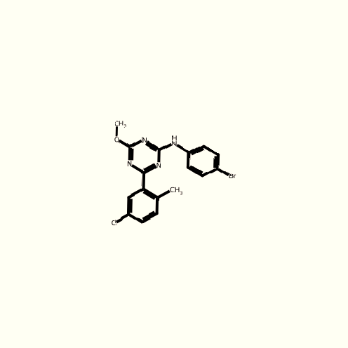 COc1nc(Nc2ccc(Br)cc2)nc(-c2cc(Cl)ccc2C)n1